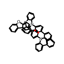 c1ccc(-c2ccccc2N(c2ccc(-c3ccc4oc5ccccc5c4c3)cc2)c2ccccc2-c2ccc3c(c2)c2cccc4c2n3-c2ccccc2O4)cc1